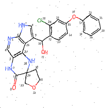 O=C1Nc2cnc3[nH]cc(C(O)c4ccc(Oc5ccccc5)cc4Cl)c3c2NC12CCOC2